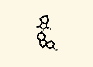 O=C1c2ccccc2C(=O)N1c1ccc2ccc3cc(Br)ccc3c2c1